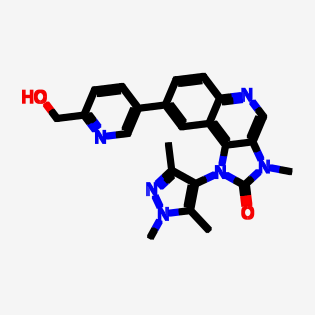 Cc1nn(C)c(C)c1-n1c(=O)n(C)c2cnc3ccc(-c4ccc(CO)nc4)cc3c21